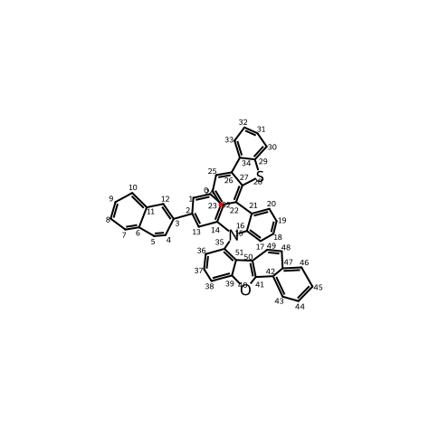 c1cc(-c2ccc3ccccc3c2)cc(N(c2ccccc2-c2cccc3c2sc2ccccc23)c2cccc3oc4c5ccccc5ccc4c23)c1